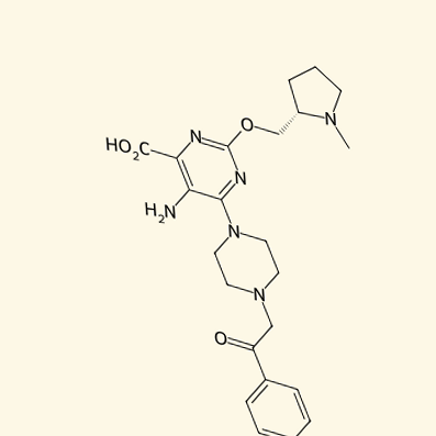 CN1CCC[C@H]1COc1nc(C(=O)O)c(N)c(N2CCN(CC(=O)c3ccccc3)CC2)n1